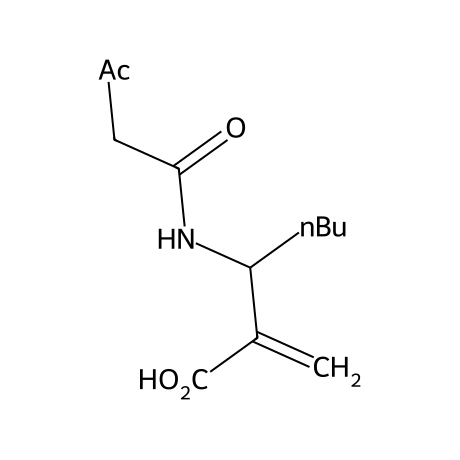 C=C(C(=O)O)C(CCCC)NC(=O)CC(C)=O